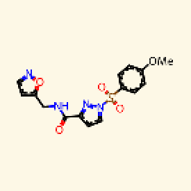 COc1ccc(S(=O)(=O)n2ccc(C(=O)NCc3ccno3)n2)cc1